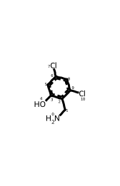 NCc1c(O)cc(Cl)cc1Cl